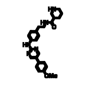 COc1ccc(-c2cnc(Nc3ccc(CCNC(=O)C4CCCNC4)cc3)nc2)cc1